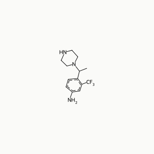 CC(c1ccc(N)cc1C(F)(F)F)N1CCNCC1